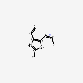 C=Cc1nc(C)sc1/C=C\C